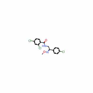 CON=C(CNC(=O)c1ccc(Cl)cc1Cl)c1ccc(Cl)cc1